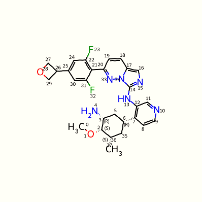 CO[C@@H]1[C@H](N)C[C@H](c2ccncc2Nc2ncc3ccc(-c4c(F)cc(C5COC5)cc4F)nn23)C[C@@H]1C